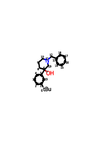 CC(C)(C)c1cccc(C2(O)CCCN(Cc3ccccc3)C2)c1